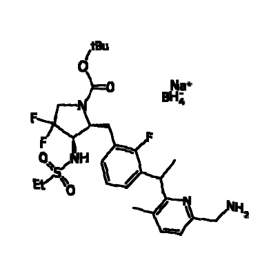 CCS(=O)(=O)N[C@@H]1[C@H](Cc2cccc(C(C)c3nc(CN)ccc3C)c2F)N(C(=O)OC(C)(C)C)CC1(F)F.[BH4-].[Na+]